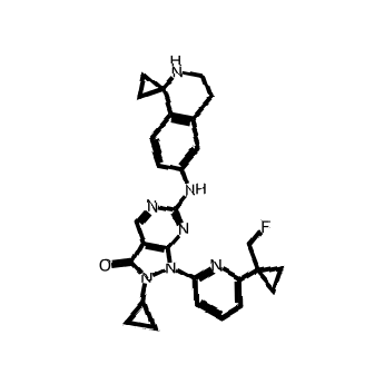 O=c1c2cnc(Nc3ccc4c(c3)CCNC43CC3)nc2n(-c2cccc(C3(CF)CC3)n2)n1C1CC1